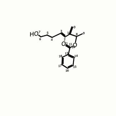 C=C(C=CCCCO)C(C)OC(=O)c1ccccc1